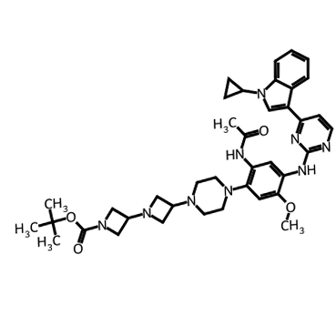 COc1cc(N2CCN(C3CN(C4CN(C(=O)OC(C)(C)C)C4)C3)CC2)c(NC(C)=O)cc1Nc1nccc(-c2cn(C3CC3)c3ccccc23)n1